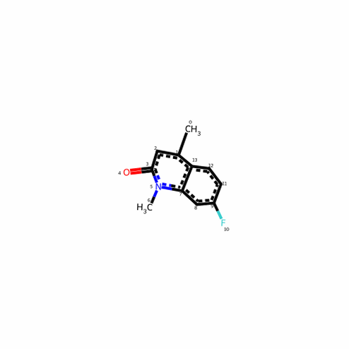 Cc1cc(=O)n(C)c2cc(F)ccc12